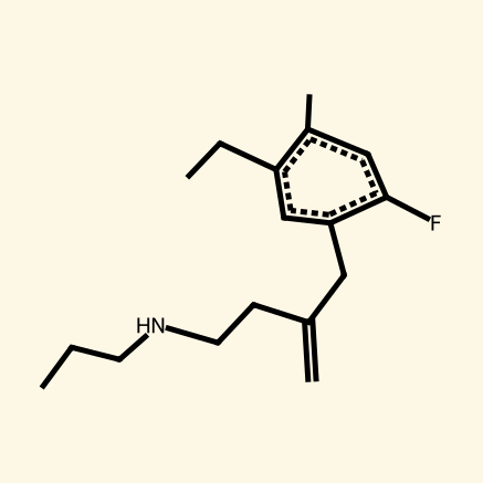 C=C(CCNCCC)Cc1cc(CC)c(C)cc1F